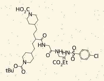 CCOC(=O)[C@H](CNC(=O)CNC(=O)C(CCC1CCN(C(=O)O)CC1)CCC1CCN(C(=O)OC(C)(C)C)CC1)NS(=O)(=O)c1ccc(Cl)cc1